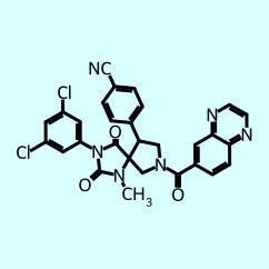 CN1C(=O)N(c2cc(Cl)cc(Cl)c2)C(=O)C12CN(C(=O)c1ccc3nccnc3c1)CC2c1ccc(C#N)cc1